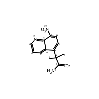 CC(C)(C(N)=O)c1ccc([N+](=O)[O-])c2ncccc12